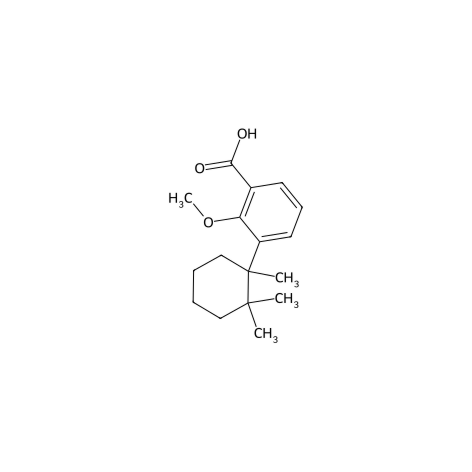 COc1c(C(=O)O)cccc1C1(C)CCCCC1(C)C